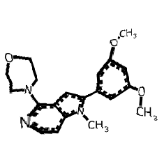 COc1cc(OC)cc(-c2cc3c(N4CCOCC4)nccc3n2C)c1